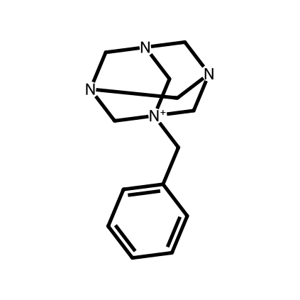 c1ccc(C[N+]23CN4CN(CN(C4)C2)C3)cc1